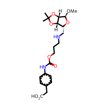 CO[C@H]1O[C@H](CNCCCOC(=O)Nc2ccc(CC(=O)O)cc2)[C@@H]2OC(C)(C)O[C@H]12